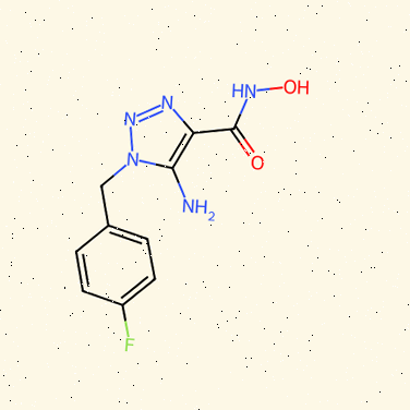 Nc1c(C(=O)NO)nnn1Cc1ccc(F)cc1